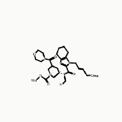 COCCCCn1c(C(=O)N(CC(C)C)[C@H]2CC(C(=O)N3CCOCC3)CN(C(=O)OC(C)(C)C)C2)nc2c1CCCC2